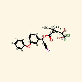 CC1(C)C(C(=O)OC(C#CI)c2cccc(Oc3ccccc3)c2)C1C(Br)C(Cl)(Cl)Br